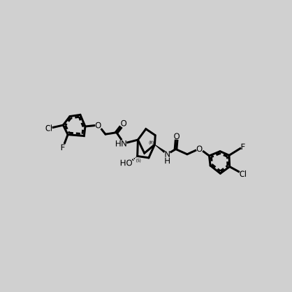 O=C(COc1ccc(Cl)c(F)c1)NC12CC[C@](NC(=O)COc3ccc(Cl)c(F)c3)(C[C@@H]1O)C2